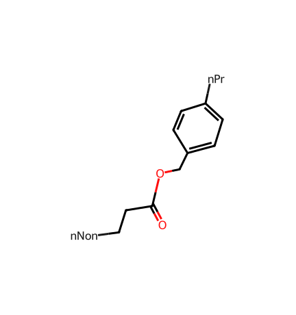 CCCCCCCCCCCC(=O)OCc1ccc(CCC)cc1